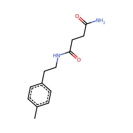 Cc1ccc(CCNC(=O)CCC(N)=O)cc1